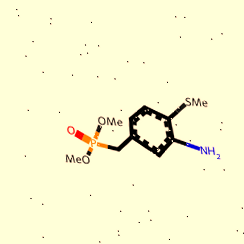 COP(=O)(Cc1ccc(SC)c(N)c1)OC